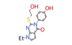 CCn1ccc2c(=O)n(-c3ccc(O)cc3)c(SCCO)nc21